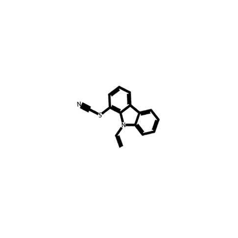 C=Cn1c2ccccc2c2cccc(SC#N)c21